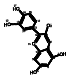 [O-]c1cc2c(O)cc(O)cc2[o+]c1-c1ccc(O)c(O)c1